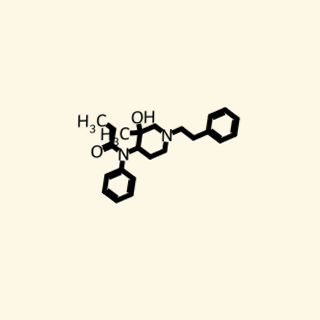 CCC(=O)N(c1ccccc1)C1CCN(CCc2ccccc2)CC1(C)O